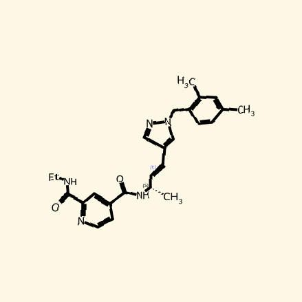 CCNC(=O)c1cc(C(=O)N[C@@H](C)/C=C/c2cnn(Cc3ccc(C)cc3C)c2)ccn1